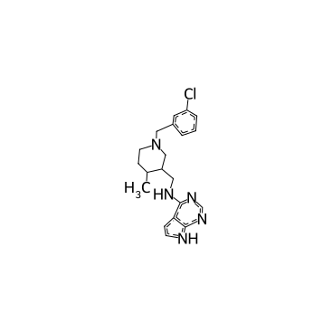 CC1CCN(Cc2cccc(Cl)c2)CC1CNc1ncnc2[nH]ccc12